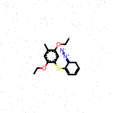 CCOc1cc(SC2=CC=CCC2=[N+]=[N-])c(OCC)cc1C